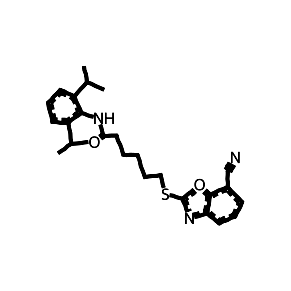 CC(C)c1cccc(C(C)C)c1NC(=O)CCCCCSc1nc2cccc(C#N)c2o1